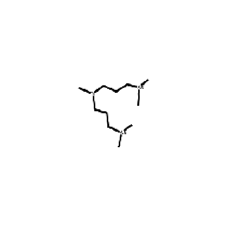 CN(CCC[As](C)C)CCC[As](C)C